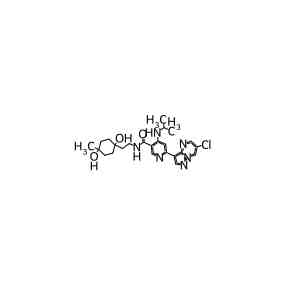 CC(C)Nc1cc(-c2cnn3cc(Cl)cnc23)ncc1C(=O)NCCC1(O)CCC(C)(O)CC1